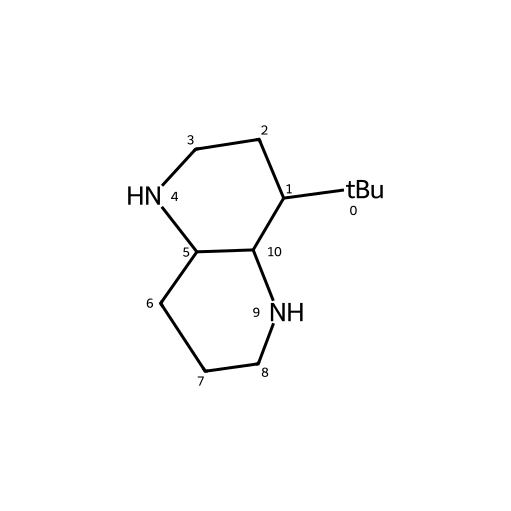 CC(C)(C)C1CCNC2CCCNC21